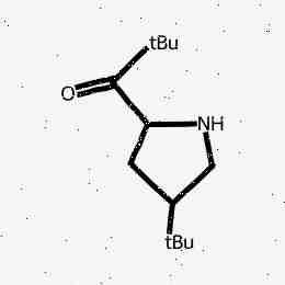 CC(C)(C)C(=O)C1CC(C(C)(C)C)CN1